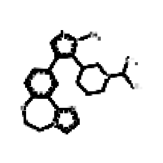 CC(C)N1CCCC(c2c(-c3ccc4c(c3)-c3nccn3CCO4)cnn2C)C1